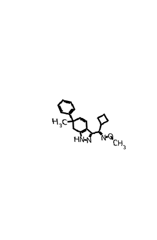 CO/N=C(/c1n[nH]c2c1C=CC(C)(c1ccccc1)C2)C1CCC1